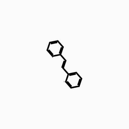 [c]1ccccc1/C=C/c1[c]cccc1